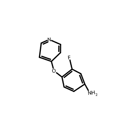 Nc1ccc(Oc2ccncc2)c(F)c1